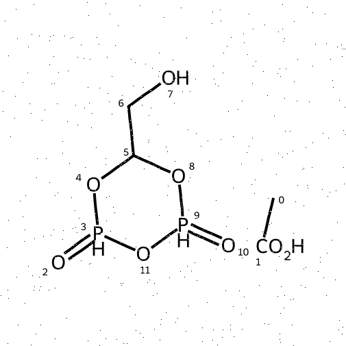 CC(=O)O.O=[PH]1OC(CO)O[PH](=O)O1